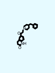 O=C1CCc2cc(C(=O)CCN3CCC(Cc4ccccc4)CC3)ccc2N1